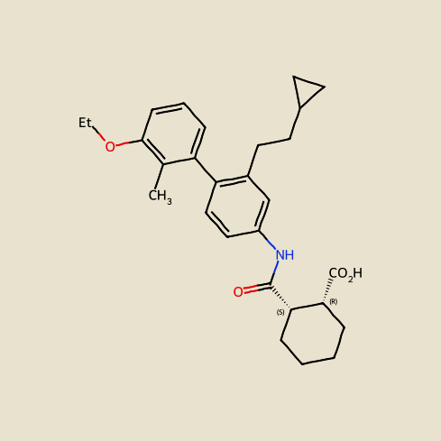 CCOc1cccc(-c2ccc(NC(=O)[C@H]3CCCC[C@H]3C(=O)O)cc2CCC2CC2)c1C